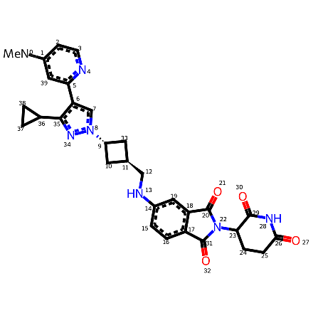 CNc1ccnc(-c2cn([C@H]3C[C@H](CNc4ccc5c(c4)C(=O)N(C4CCC(=O)NC4=O)C5=O)C3)nc2C2CC2)c1